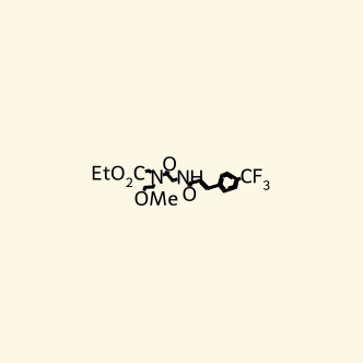 CCOC(=O)CN(CCOC)C(=O)CNC(=O)/C=C/c1ccc(C(F)(F)F)cc1